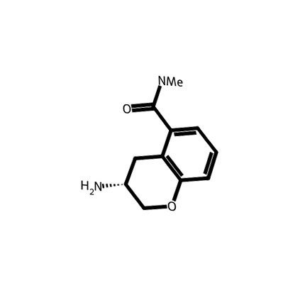 CNC(=O)c1cccc2c1C[C@@H](N)CO2